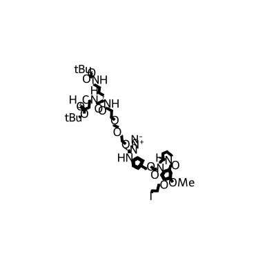 COc1cc2c(cc1OCCCI)N(C(=O)OCc1ccc(N[C@H](COCCOCCOCCC(=O)N[C@@H](CCCCNC(=O)OC(C)(C)C)C(=O)N[C@@H](C)CC(=O)OC(C)(C)C)N=[N+]=[N-])cc1)C[C@@H]1CCCN1C2=O